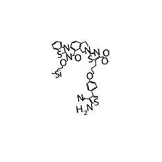 COC(=O)c1nc(N2CCc3cccc(C(=O)N(COCC[Si](C)(C)C)c4nc5ccccc5s4)c3C2)sc1CCCOc1ccc(-c2csc(N)c2C#N)cc1